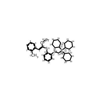 Cc1ccccc1/C=C(\OC(C)C)Sc1ccccc1SC[PH](C1CCCCC1)(C1CCCCC1)C1CCCCC1